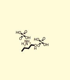 CCCCO.N.N.O=S(=O)(O)O.O=S(=O)(O)O